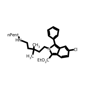 CCCCCNCCC(C)(C)CCn1c(C(=O)OCC)c2ccc(Cl)cc2c1-c1ccccc1